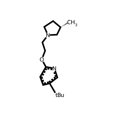 C[C@H]1CCN(CCOc2ccc(C(C)(C)C)cn2)C1